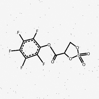 O=C(Oc1c(F)c(F)c(F)c(F)c1F)C1COS(=O)(=O)O1